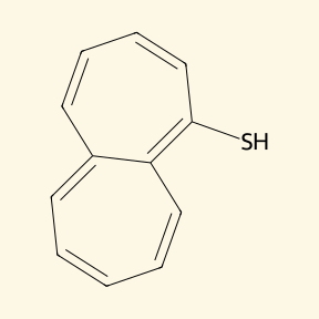 SC1=C2C=CC=CC=C2C=CC=C1